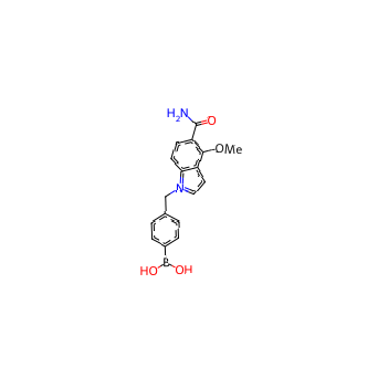 COc1c(C(N)=O)ccc2c1ccn2Cc1ccc(B(O)O)cc1